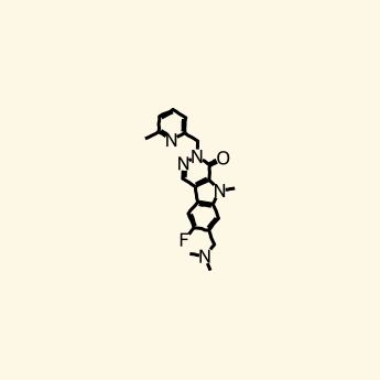 Cc1cccc(Cn2ncc3c4cc(F)c(CN(C)C)cc4n(C)c3c2=O)n1